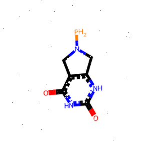 O=c1[nH]c2c(c(=O)[nH]1)CN(P)C2